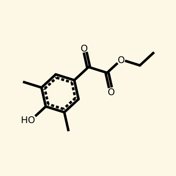 CCOC(=O)C(=O)c1cc(C)c(O)c(C)c1